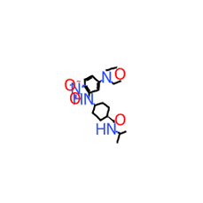 CC(C)NC(=O)[C@H]1CC[C@@H](Nc2cc(N3CCOCC3)ccc2[N+](=O)[O-])CC1